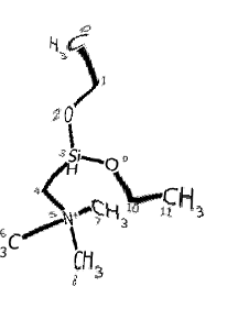 CCO[SiH](C[N+](C)(C)C)OCC